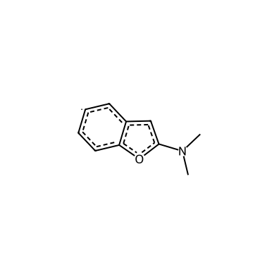 CN(C)c1cc2c[c]ccc2o1